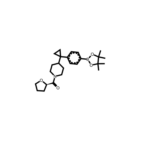 CC1(C)OB(c2ccc(C3(C4CCN(C(=O)[C@H]5CCCO5)CC4)CC3)cc2)OC1(C)C